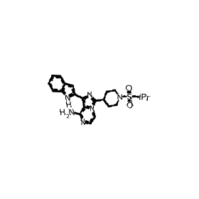 CC(C)S(=O)(=O)N1CCC(c2nc(-c3cc4ccccc4[nH]3)c3c(N)nccn23)CC1